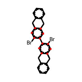 Brc1cc2c(cc1-c1cc3c(cc1Br)C1c4ccccc4C3c3ccccc31)C1c3ccccc3C2c2ccccc21